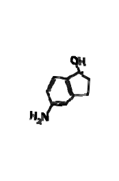 Nc1ccc2c(c1)CC[C]2O